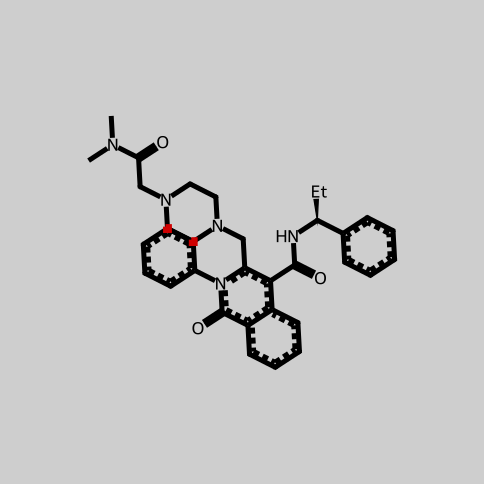 CC[C@H](NC(=O)c1c(CN2CCN(CC(=O)N(C)C)CC2)n(-c2ccccc2)c(=O)c2ccccc12)c1ccccc1